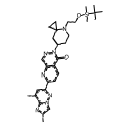 Cc1cn2nc(-c3ccc4c(=O)n(C5CCN(CCO[Si](C)(C)C(C)(C)C)C6(CC6)C5)ncc4n3)cc(C)c2n1